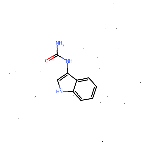 NC(=O)Nc1c[nH]c2ccccc12